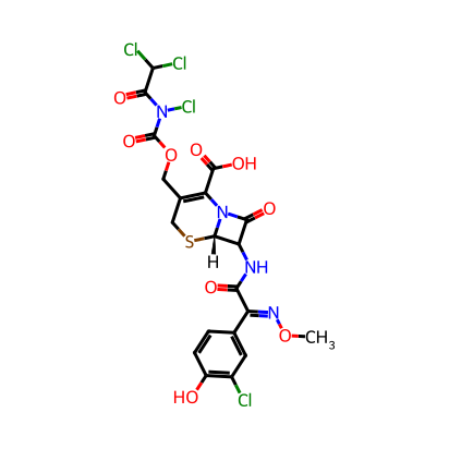 CON=C(C(=O)NC1C(=O)N2C(C(=O)O)=C(COC(=O)N(Cl)C(=O)C(Cl)Cl)CS[C@@H]12)c1ccc(O)c(Cl)c1